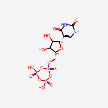 O=c1[nH]cc([C@@H]2O[C@H](COP3(=S)OP(=O)(O)OP(=O)(O)O3)C(O)C2O)c(=O)[nH]1